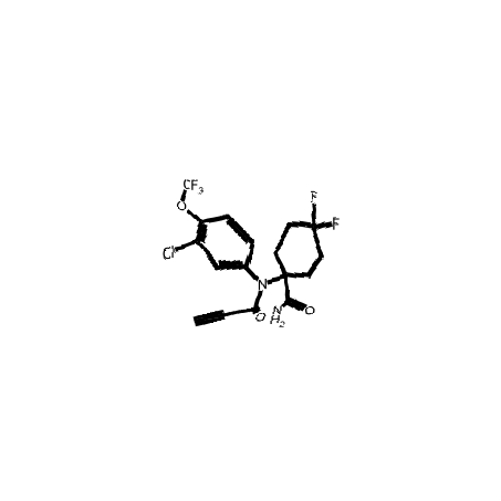 C#CC(=O)N(c1ccc(OC(F)(F)F)c(Cl)c1)C1(C(N)=O)CCC(F)(F)CC1